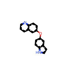 c1cnc2ccc(Oc3ccc4[nH]ccc4c3)cc2c1